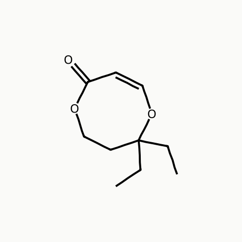 CCC1(CC)CCOC(=O)C=CO1